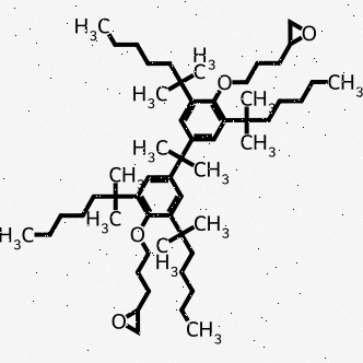 CCCCCC(C)(C)c1cc(C(C)(C)c2cc(C(C)(C)CCCCC)c(OCCCC3CO3)c(C(C)(C)CCCCC)c2)cc(C(C)(C)CCCCC)c1OCCCC1CO1